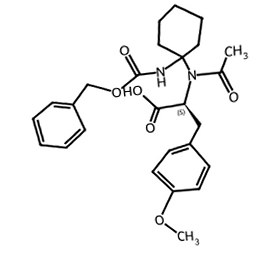 COc1ccc(C[C@@H](C(=O)O)N(C(C)=O)C2(NC(=O)OCc3ccccc3)CCCCC2)cc1